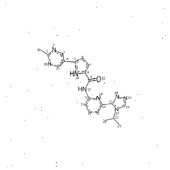 Cc1ncc(-c2ccc(C(=O)Nc3cccc(-c4nncn4C(C)C)n3)[nH]2)cn1